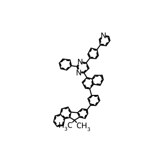 CC1(C)c2ccc(-c3cccc(-c4ccc(-c5cc(-c6ccc(-c7cccnc7)cc6)nc(-c6ccccc6)n5)c5ccccc45)c3)cc2-c2ccc3ccccc3c21